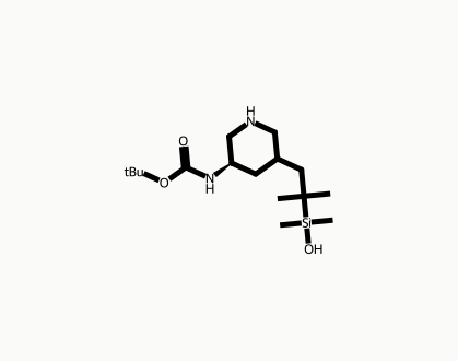 CC(C)(C)OC(=O)N[C@H]1CNCC(CC(C)(C)[Si](C)(C)O)C1